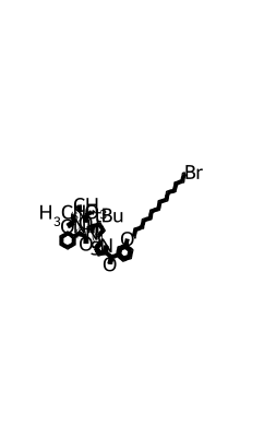 C[C@@H](C(=O)N[C@H](C(=O)N1CCC[C@H]1c1nc(C(=O)c2cccc(OCCCCCCCCCCCCCCBr)c2)cs1)C1CCCCC1)N(C)C(=O)OC(C)(C)C